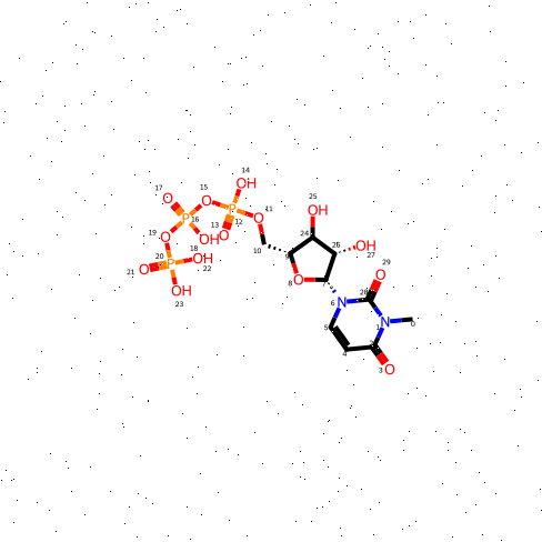 Cn1c(=O)ccn([C@@H]2O[C@H](COP(=O)(O)OP(=O)(O)OP(=O)(O)O)C(O)[C@@H]2O)c1=O